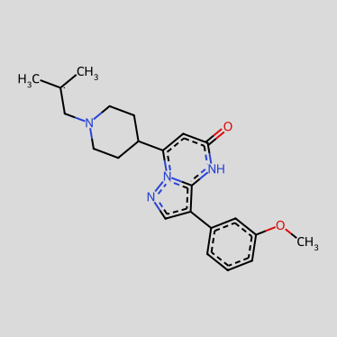 COc1cccc(-c2cnn3c(C4CCN(C[C](C)C)CC4)cc(=O)[nH]c23)c1